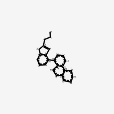 CCCC1=Cc2c(cccc2-c2cccc3c2ccc2ccccc23)[CH]1